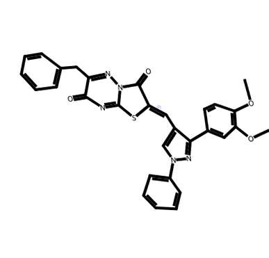 COc1ccc(-c2nn(-c3ccccc3)cc2/C=c2\sc3nc(=O)c(Cc4ccccc4)nn3c2=O)cc1OC